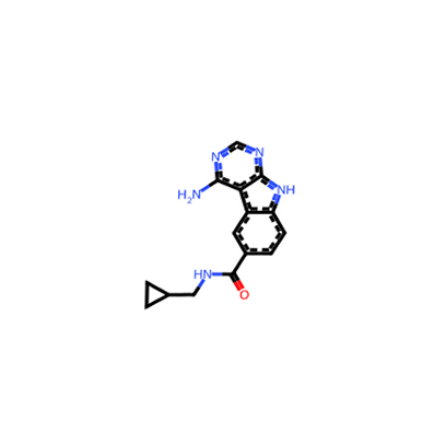 Nc1ncnc2[nH]c3ccc(C(=O)NCC4CC4)cc3c12